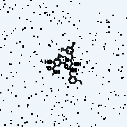 CCc1cccc(CNC[C@@H](O)[C@H](Cc2cc(F)cc(F)c2)N(CC2CC2)C(=O)c2ccc(O)c(C(=O)NC)c2)c1